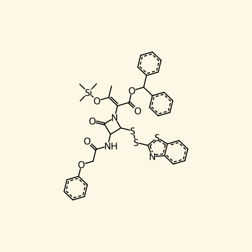 C/C(O[Si](C)(C)C)=C(\C(=O)OC(c1ccccc1)c1ccccc1)N1C(=O)C(NC(=O)COc2ccccc2)C1SSc1nc2ccccc2s1